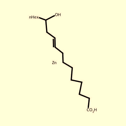 CCCCCCC(O)CC=CCCCCCCCC(=O)O.[Zn]